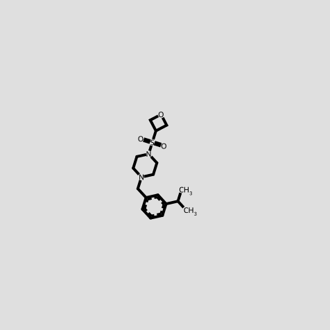 CC(C)c1cccc(CN2CCN(S(=O)(=O)C3COC3)CC2)c1